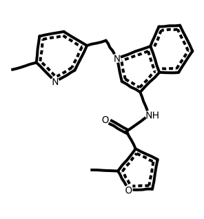 Cc1ccc(Cn2cc(NC(=O)c3ccoc3C)c3ccccc32)cn1